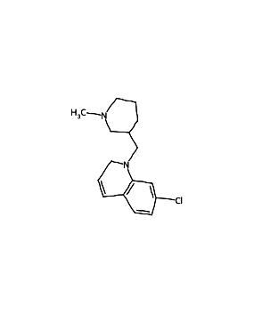 CN1CCCC(CN2CC=Cc3ccc(Cl)cc32)C1